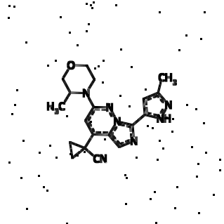 Cc1cc(-c2ncc3c(C4(C#N)CC4)cc(N4CCOCC4C)nn23)[nH]n1